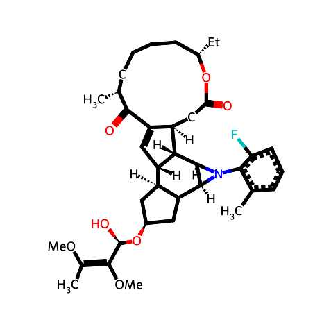 CC[C@H]1CCCC[C@@H](C)C(=O)C2=C[C@@H]3[C@@H]([C@@H]4[C@H](C5C[C@@H](O[C@H](O)/C(OC)=C(/C)OC)C[C@H]53)N4c3c(C)cccc3F)[C@@H]2CC(=O)O1